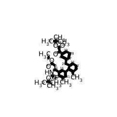 CCOC(=O)C[C@H](NC(=O)OC(C)(C)C)c1cc(-c2c(C)cccc2Cc2cccc(C(=O)C(=O)OC(C)(C)C)c2)cc(C)c1F